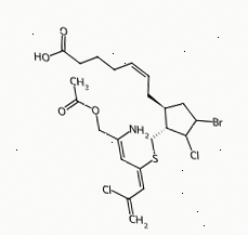 C=C(Cl)/C=C(\C=C(/N)COC(C)=O)SC[C@H]1C(Cl)C(Br)C[C@@H]1C/C=C\CCCC(=O)O